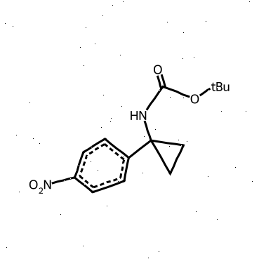 CC(C)(C)OC(=O)NC1(c2ccc([N+](=O)[O-])cc2)CC1